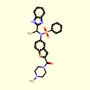 CC(c1nc2ccccc2[nH]1)N(c1ccc2sc(C(=O)N3CCN(C)CC3)cc2c1)S(=O)(=O)c1ccccc1